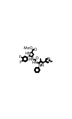 COC(=O)C1C[C@@H](NC(=O)Nc2c(C)c(-c3cnn(C)c3)nn2-c2ccccc2)[C@H](c2ccc(F)c(F)c2)N1